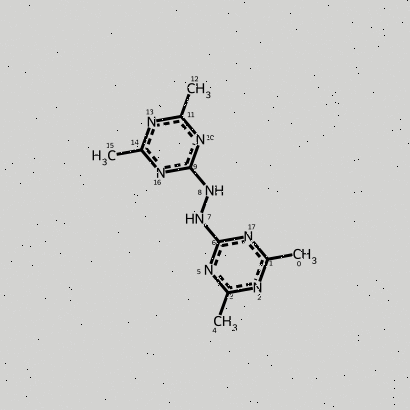 Cc1nc(C)nc(NNc2nc(C)nc(C)n2)n1